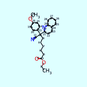 CCOC(=O)CCCCCC(C#N)(c1ccc(OC)cc1)c1ccc2ccccc2n1